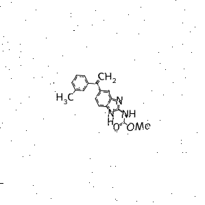 C=C(c1cccc(C)c1)c1ccc2[nH]c(NC(=O)OC)nc2c1